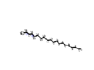 CCCCCCCCCCCCCCC/C=C/C=C/[O]